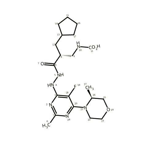 Cc1nc(NNC(=O)[C@@H](CNC(=O)O)CC2CCCC2)c(F)c(N2CCOC[C@@H]2C)n1